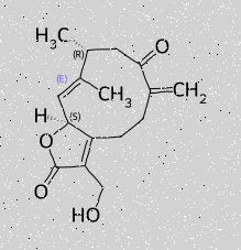 C=C1CCC2=C(CO)C(=O)O[C@H]2/C=C(\C)[C@H](C)CC1=O